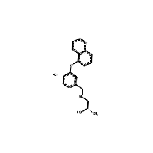 C[C@H](O)CNCc1cccc(Oc2cccc3ccccc23)c1.Cl